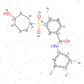 O=C(Nc1cc(F)c(F)c(F)c1)c1ccc(F)c(S(=O)(=O)N2CCCC(O)CC2)c1